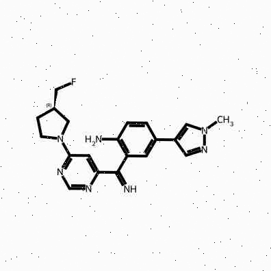 Cn1cc(-c2ccc(N)c(C(=N)c3cc(N4CC[C@@H](CF)C4)ncn3)c2)cn1